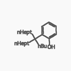 CCCCCCCC(CCCC)(CCCCCCC)c1ccccc1O